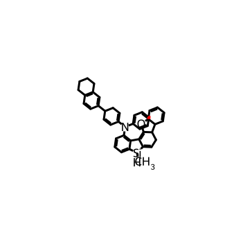 C[SiH]1C2=CCC3C(=C2c2c(N(C4=CCC(c5ccc6c(c5)CCCC6)C=C4)c4ccccc4)cccc21)OC1C=CC=CC13